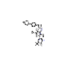 C=N/C(NC(/C=C\C=O)=C/N(C)C(C)(C)C)=C(\C=N/CNc1ccc(N2CCN(C)CC2)cc1)C(=O)NC1CC1